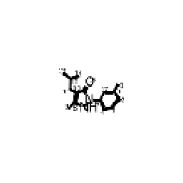 Cc1cccc(-n2[nH]c(C)c(CC(C)C)c2=O)c1